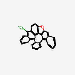 Clc1c2ccccc2c2c3c1ccc1oc4cc5ccccc5c(c4c13)-c1ccccc1-2